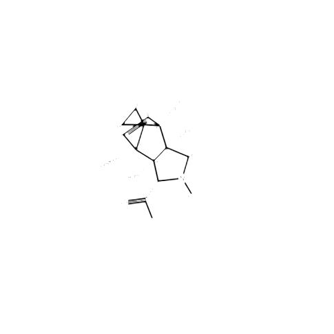 CC(=O)[C@@H]1[C@@H]2[C@H](CN1C)[C@@H]1C=C[C@H]2C12CC2